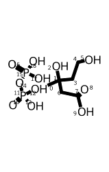 CC(O)(CCO)CC(=O)O.O=P(O)(O)OP(=O)(O)O